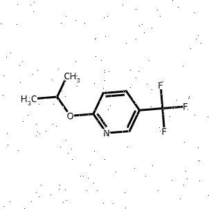 C[C](C)Oc1ccc(C(F)(F)F)cn1